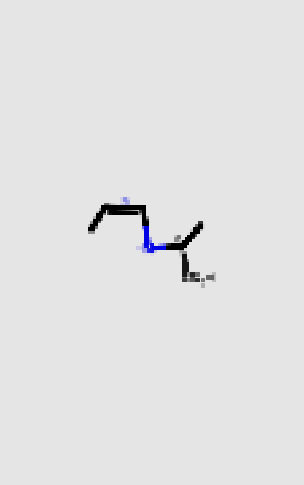 C/C=C\N[C@@H](C)C(=O)O